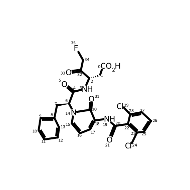 O=C(O)C[C@H](NC(=O)[C@H](Cc1ccccc1)n1cccc(NC(=O)c2c(Cl)cccc2Cl)c1=O)C(=O)CF